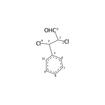 O=CC(Cl)C(Cl)c1ccccc1